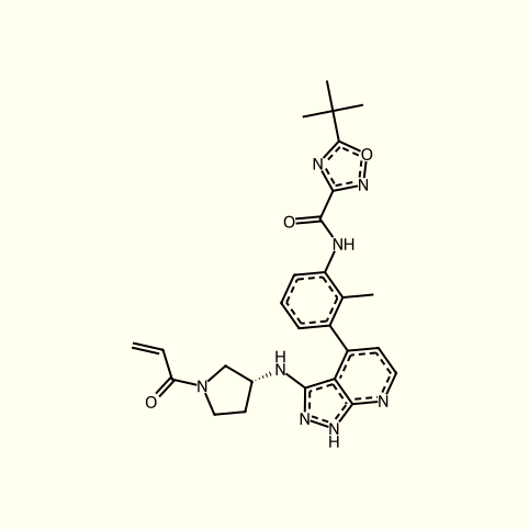 C=CC(=O)N1CC[C@@H](Nc2n[nH]c3nccc(-c4cccc(NC(=O)c5noc(C(C)(C)C)n5)c4C)c23)C1